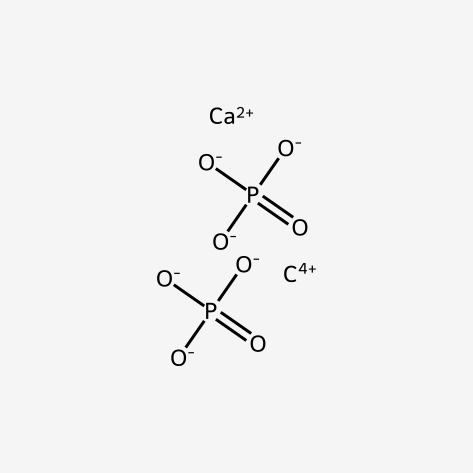 O=P([O-])([O-])[O-].O=P([O-])([O-])[O-].[C+4].[Ca+2]